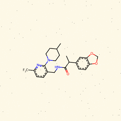 CC1CCN(c2nc(C(F)(F)F)ccc2CNC(=O)C(C)c2ccc3c(c2)OCO3)CC1